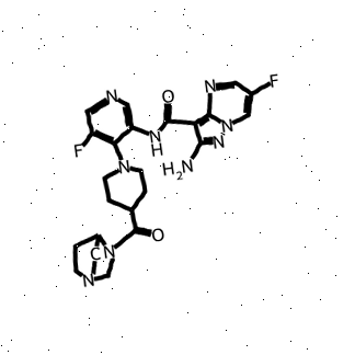 Nc1nn2cc(F)cnc2c1C(=O)Nc1cncc(F)c1N1CCC(C(=O)N2CCN3CCC2CC3)CC1